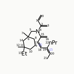 C=CC(=C)N(CC1(C)CCCC(C)(CC)C1)C(=C)/C=C\C(=C/C)CCC